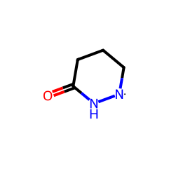 O=C1CCC[N]N1